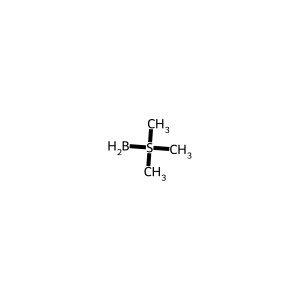 BS(C)(C)C